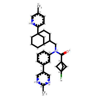 O=C(N(CC1CCC2(c3ccc(C(F)(F)F)cn3)CCCC1C2)c1cccc(-c2cnc(C(F)(F)F)nc2)c1)C12CC(F)(C1)C2